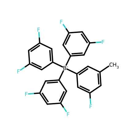 Cc1cc(F)cc([B-](c2cc(F)cc(F)c2)(c2cc(F)cc(F)c2)c2cc(F)cc(F)c2)c1